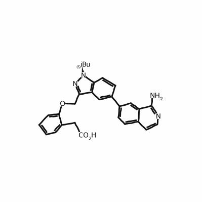 CC[C@H](C)n1nc(COc2ccccc2CC(=O)O)c2cc(-c3ccc4ccnc(N)c4c3)ccc21